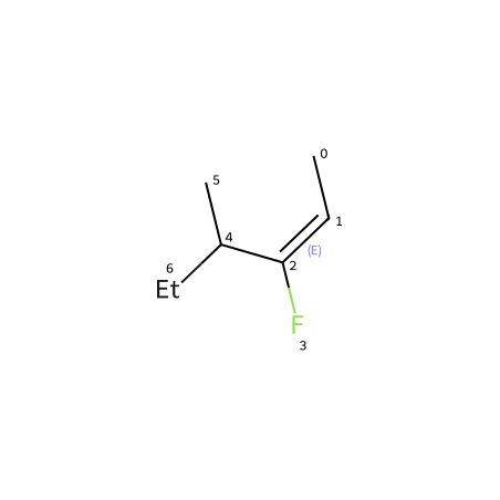 C/C=C(/F)C(C)CC